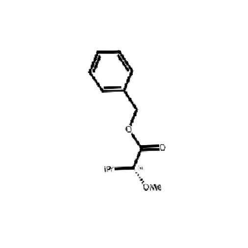 CO[C@@H](C(=O)OCc1ccccc1)C(C)C